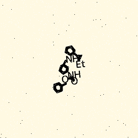 CCC1CC1c1ccccc1NCc1cccc(NC(=O)OCc2ccccc2)c1